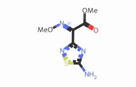 CO/N=C(/C(=O)OC)c1nsc(N)n1